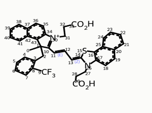 CC1(Cc2ccccc2C(F)(F)F)C(/C=C/C=C2\Sc3c(ccc4ccccc34)N2CCC(=O)O)=[N+](CCC(=O)O)c2ccc3ccccc3c21